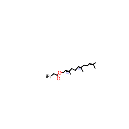 CC(C)=CCC/C(C)=C/CC/C(C)=C/COC(=O)CC(C)C